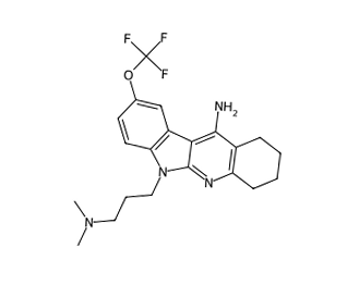 CN(C)CCCn1c2ccc(OC(F)(F)F)cc2c2c(N)c3c(nc21)CCCC3